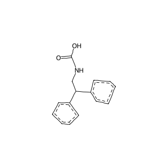 O=C(O)NCC(c1ccccc1)c1ccccc1